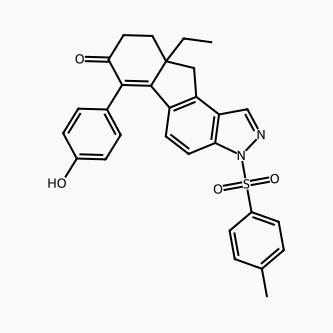 CCC12CCC(=O)C(c3ccc(O)cc3)=C1c1ccc3c(cnn3S(=O)(=O)c3ccc(C)cc3)c1C2